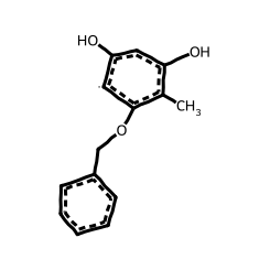 Cc1c(OCc2ccccc2)[c]c(O)cc1O